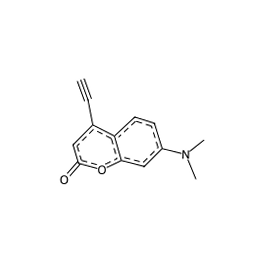 C#Cc1cc(=O)oc2cc(N(C)C)ccc12